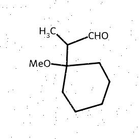 COC1(C(C)C=O)CCCCC1